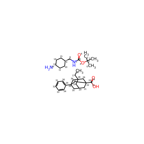 CC(C)(C)OC(=O)NC[C@H]1CC[C@H](N)CC1.CCC12CC3CC(C(=O)O)(C1)CC(c1ccccc1)(C3)C2